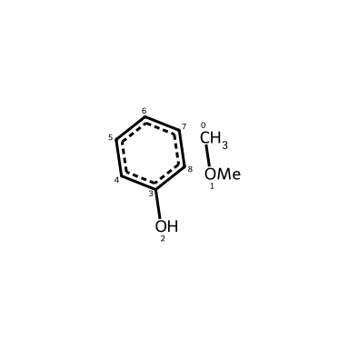 COC.Oc1ccccc1